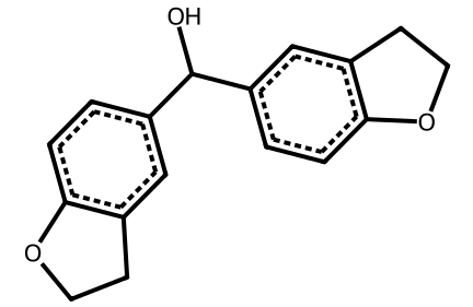 OC(c1ccc2c(c1)CCO2)c1ccc2c(c1)CCO2